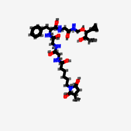 CSC(=O)[C@H](OCNC(=O)CNC(=O)[C@H](Cc1ccccc1)NC(=O)CNC(=O)CNC(=O)CCCCCN1C(=O)CC(C(C)C)C1=O)C1CC1